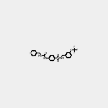 O=C(NCc1ccncc1)Nc1ccc(S(=O)(=O)NCc2cccc(OC(F)(F)F)c2)cc1